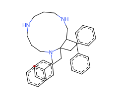 c1ccc(CC2CNCCCNCCCN(Cc3ccccc3)C2(Cc2ccccc2)Cc2ccccc2)cc1